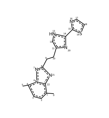 Cc1ccc(C)n2nc(CCc3c[nH]c(-c4nccs4)n3)nc12